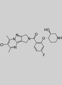 Cc1nc2c3c(nn2c(C)c1Cl)CN(C(=O)c1ccc(F)cc1O[C@H]1CCNC[C@@H]1O)C3